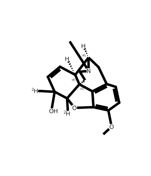 [2H]C1(O)C=C[C@H]2[C@H]3Cc4ccc(OC)c5c4[C@@]2(CCN3C)C1([2H])O5